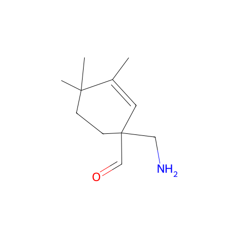 CC1=CC(C=O)(CN)CCC1(C)C